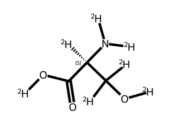 [2H]OC(=O)[C@@]([2H])(N([2H])[2H])C([2H])([2H])O[2H]